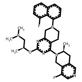 C[C@@H](CN(C)C)Oc1nc2c(c(N3Cc4c(F)cncc4C[C@@H]3C)n1)CCN(c1cccc3cccc(F)c13)C2